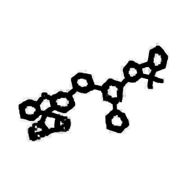 CC1(C)c2ccccc2-c2ccc(-c3cc(-c4cccc(-c5ccc6c(c5)Oc5ccccc5C65c6ccccc6-c6ccccc65)c4)nc(-c4ccccc4)n3)cc21